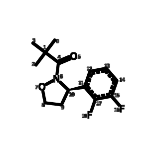 CC(C)(C)C(=O)N1OCC[C@@H]1c1cccc(F)c1F